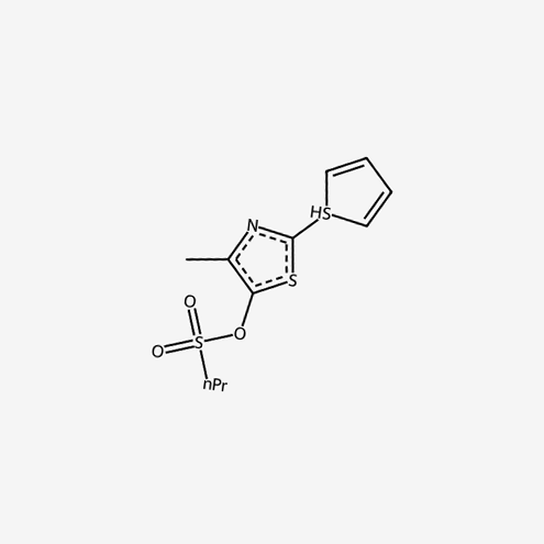 CCCS(=O)(=O)Oc1sc([SH]2C=CC=C2)nc1C